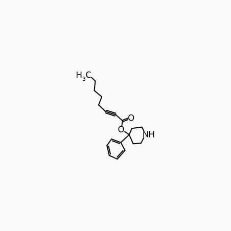 CCCCCC#CC(=O)OC1(c2ccccc2)CCNCC1